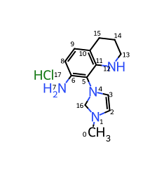 CN1C=CN(c2c(N)ccc3c2NCCC3)C1.Cl